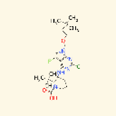 CC(C)(C)C1C(Nc2nc(Cl)nc3c2c(F)cn3COCC[Si](C)(C)C)CCCN1C(=O)O